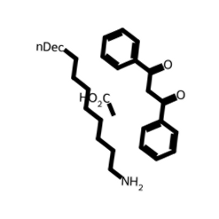 CC(=O)O.CCCCCCCCCCCCCCCCCCN.O=C(CC(=O)c1ccccc1)c1ccccc1